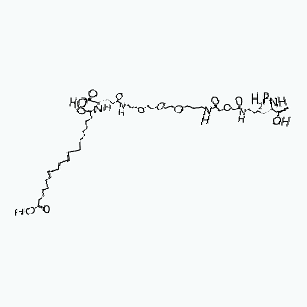 C=C(O)[C@H](CCCCNC(=O)COCC(=O)NCCCOCCOCCOCCCNC(=O)CC[C@H](NC(=O)CCCCCCCCCCCCCCCCCCC(=O)O)C(=O)O)NP